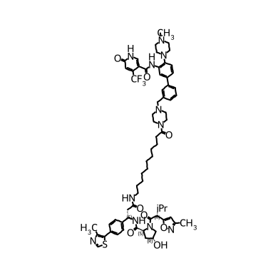 Cc1cc([C@H](C(=O)N2C[C@H](O)C[C@H]2C(=O)N[C@@H](CC(=O)NCCCCCCCCCCC(=O)N2CCN(Cc3cccc(-c4ccc(N5CCN(C)CC5)c(NC(=O)c5c[nH]c(=O)cc5C(F)(F)F)c4)c3)CC2)c2ccc(-c3scnc3C)cc2)C(C)C)on1